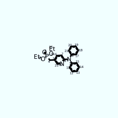 CCOP(=O)(Cc1ccc(N(c2ccccc2)c2ccccc2)nc1)OCC